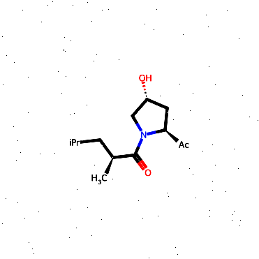 CC(=O)[C@@H]1C[C@@H](O)CN1C(=O)[C@@H](C)CC(C)C